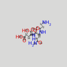 NCCC(=O)N[C@@H](CCC(N)=O)C(=O)N[C@@H](CCC(=O)O)C(=O)O